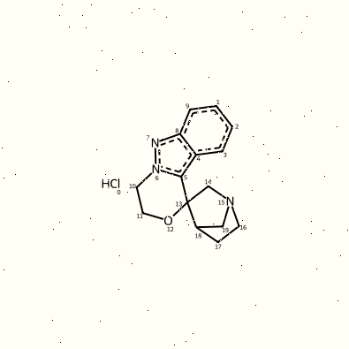 Cl.c1ccc2c3n(nc2c1)CCOC31CN2CCC1C2